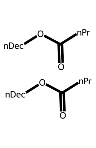 CCCCCCCCCCOC(=O)CCC.CCCCCCCCCCOC(=O)CCC